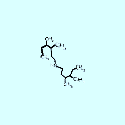 CCC(C)C(C)CCNCCC(C)C(C)CC